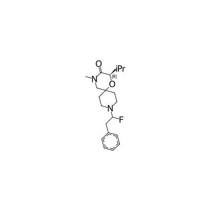 CC(C)[C@H]1OC2(CCN(C(F)Cc3ccccc3)CC2)CN(C)C1=O